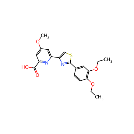 CCOc1ccc(-c2nc(-c3cc(OC)cc(C(=O)O)n3)cs2)cc1OCC